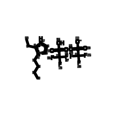 CCCC[n+]1cc[nH]c1CC.O=S(=O)(O)C(F)(F)F.O=S(=O)([O-])C(F)(F)F